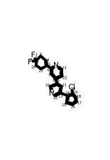 FC1(F)CC=C(c2cc(-c3cncc(-c4cc[c]cc4Cl)c3)ccn2)CC1